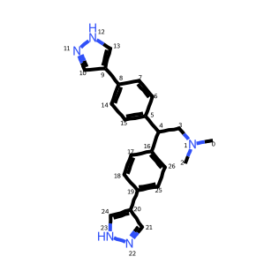 CN(C)CC(c1ccc(-c2cn[nH]c2)cc1)c1ccc(-c2cn[nH]c2)cc1